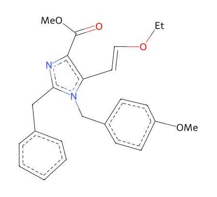 CCOC=Cc1c(C(=O)OC)nc(Cc2ccccc2)n1Cc1ccc(OC)cc1